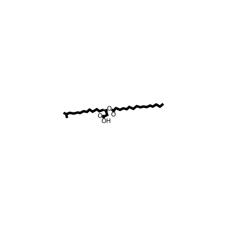 CCCCCCCCCCCCCCCC(=O)O[C@H](CCCCCCCCCCCC(C)C)CC(=O)O